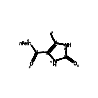 CCCCCC(=O)c1[nH]c(=O)[nH]c1C